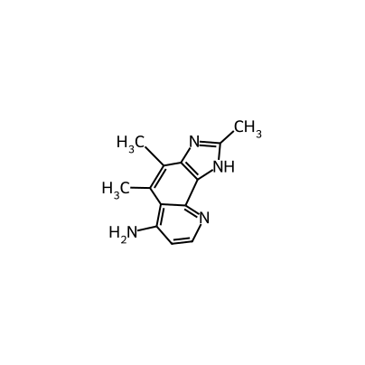 Cc1nc2c(C)c(C)c3c(N)ccnc3c2[nH]1